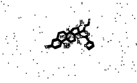 C[C@H]1C[C@H]2[C@@H]3CCC4=CC(=O)C=C[C@]4(C)[C@@]3(F)[C@@H](O)C[C@]2(C)[C@@]1(OC(=O)c1ccco1)C(=O)SCF